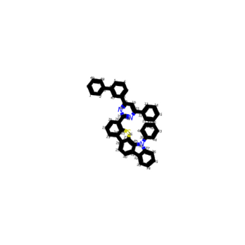 c1ccc(-c2cccc(-c3cc(-c4ccccc4)nc(-c4cccc5c4sc4c5ccc5c6ccccc6n(-c6ccccc6)c54)n3)c2)cc1